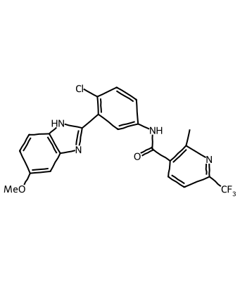 COc1ccc2[nH]c(-c3cc(NC(=O)c4ccc(C(F)(F)F)nc4C)ccc3Cl)nc2c1